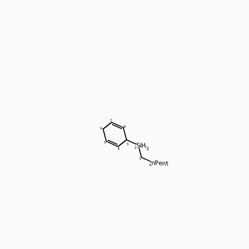 CCCCCC[SiH2]C1C=CCC=C1